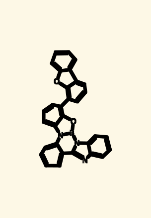 c1ccc2c(c1)-c1nc3ccccc3n1B1Oc3c(-c4cccc5c4oc4ccccc45)cccc3N12